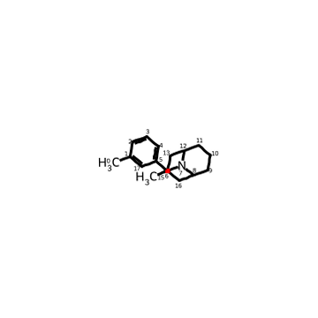 Cc1cccc(CN2C3CCCC2CC(C)C3)c1